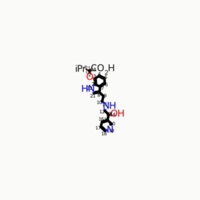 CC(C)[C@H](Oc1cccc2c(CCNC[C@@H](O)c3cccnc3)c[nH]c12)C(=O)O